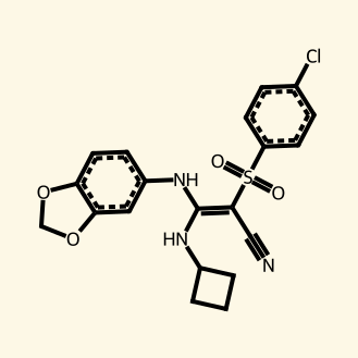 N#C/C(=C(/Nc1ccc2c(c1)OCO2)NC1CCC1)S(=O)(=O)c1ccc(Cl)cc1